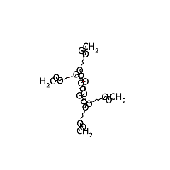 C=CC(=O)OCCCCCCOc1ccc(C(=O)Oc2ccc(OC(=O)c3ccc(OCCCCCCOC(=O)C=C)c(OCCCCCCOC(=O)C=C)c3)cc2)cc1OCCCCCCOC(=O)C=C